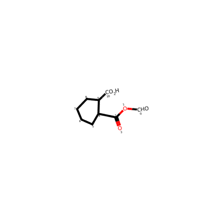 O=COC(=O)C1CCCCC1C(=O)O